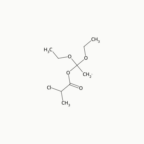 [CH2]C(OCC)(OCC)OC(=O)C(C)Cl